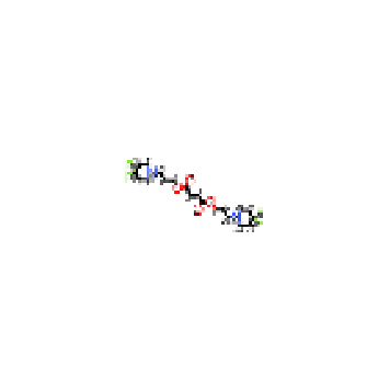 O=C(/C=C/C(=O)OCCCN1CCC(F)(F)CC1)OCCCN1CCC(F)(F)CC1